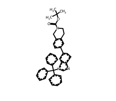 CC(C)(C)OC(=O)N1CCc2cc(-c3ccc4ncn(C(c5ccccc5)(c5ccccc5)c5ccccc5)c4c3)ccc2C1